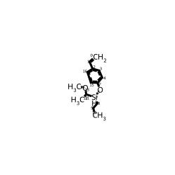 C=Cc1ccc(O[SiH](CCC)C(C)OC)cc1